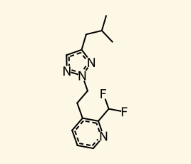 CC(C)Cc1cnn(CCc2cccnc2C(F)F)n1